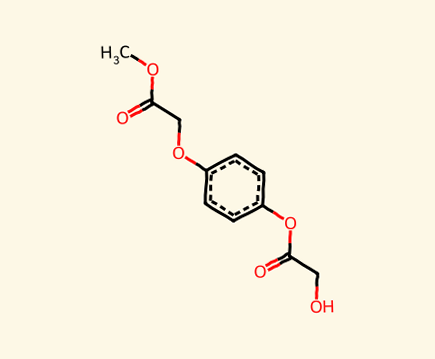 COC(=O)COc1ccc(OC(=O)CO)cc1